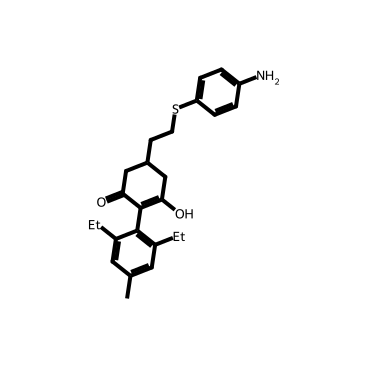 CCc1cc(C)cc(CC)c1C1=C(O)CC(CCSc2ccc(N)cc2)CC1=O